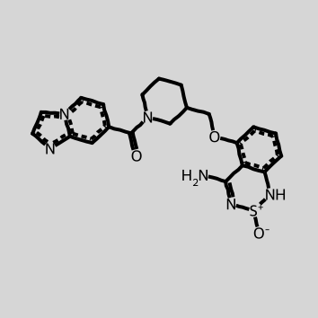 NC1=N[S+]([O-])Nc2cccc(OCC3CCCN(C(=O)c4ccn5ccnc5c4)C3)c21